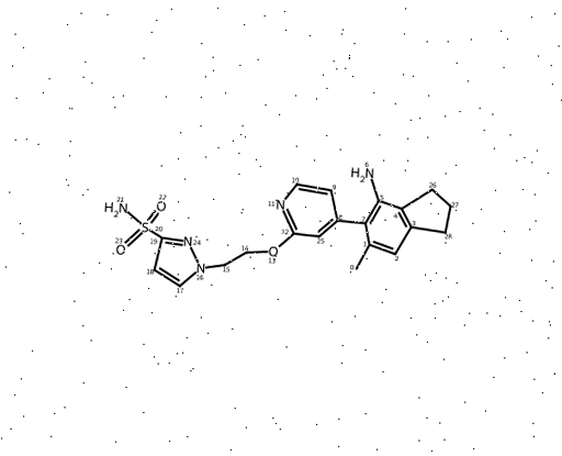 Cc1cc2c(c(N)c1-c1ccnc(OCCn3ccc(S(N)(=O)=O)n3)c1)CCC2